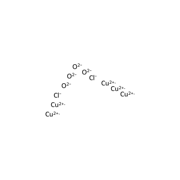 [Cl-].[Cl-].[Cu+2].[Cu+2].[Cu+2].[Cu+2].[Cu+2].[O-2].[O-2].[O-2].[O-2]